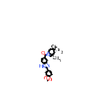 CC1(C)CC2CC(C)(CN2C(=O)c2ccc3[nH]c(-c4ccc5c(c4)OCO5)nc3c2)C1